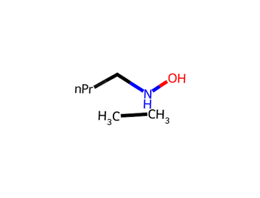 CC.CCCCNO